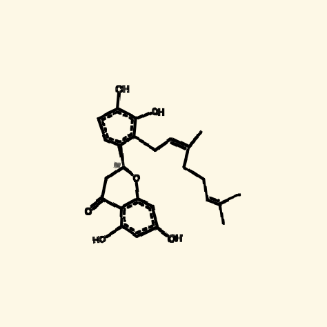 CC(C)=CCCC(C)=CCc1c([C@@H]2CC(=O)c3c(O)cc(O)cc3O2)ccc(O)c1O